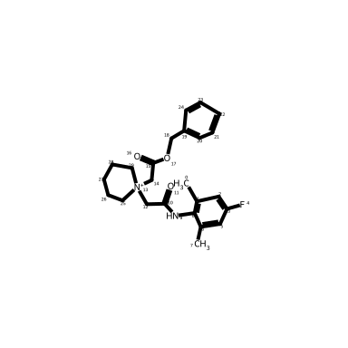 Cc1cc(F)cc(C)c1NC(=O)C[N+]1(CC(=O)OCc2ccccc2)CCCCC1